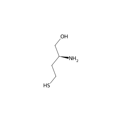 N[C@H](CO)CCS